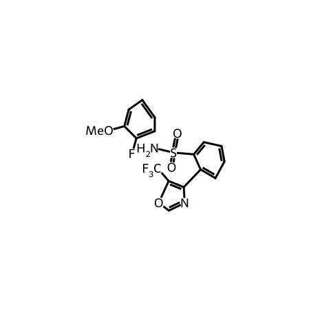 COc1ccccc1F.NS(=O)(=O)c1ccccc1-c1ncoc1C(F)(F)F